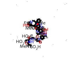 CC[C@]1(O)C[C@H]2CN(CCc3c([nH]c4ccccc34)[C@@](C(=O)OC)(c3cc4c(cc3OC)N(C)[C@H]3[C@@](O)(C(=O)N/N=C(/C)c5ccc(N6C(=O)CC(SC[C@H](NC(=O)[C@H](CC(=O)O)NC(=O)[C@H](CC(=O)O)NC)C(=O)O)C6=O)cc5)[C@H](O)[C@]5(CC)C=CCN6CC[C@]43[C@@H]65)C2)C1